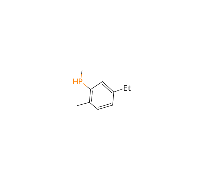 CCc1ccc(C)c(PC)c1